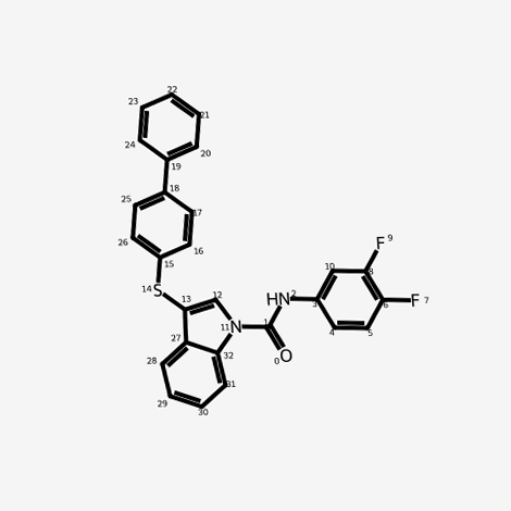 O=C(Nc1ccc(F)c(F)c1)n1cc(Sc2ccc(-c3ccccc3)cc2)c2ccccc21